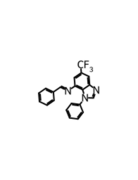 FC(F)(F)c1cc(/N=C/c2ccccc2)c2c(c1)ncn2-c1ccccc1